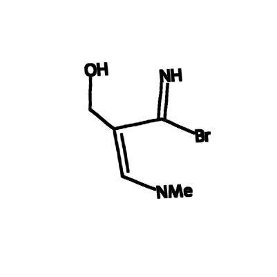 CN/C=C(/CO)C(=N)Br